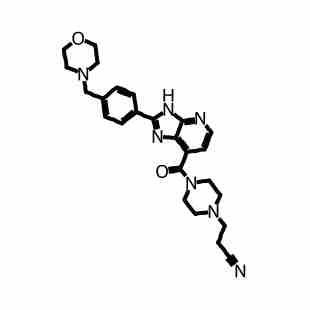 N#CCCN1CCN(C(=O)c2ccnc3[nH]c(-c4ccc(CN5CCOCC5)cc4)nc23)CC1